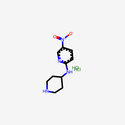 Cl.Cl.O=[N+]([O-])c1ccc(NC2CCNCC2)nc1